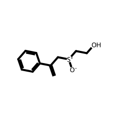 C=C(C[S+]([O-])CCO)c1ccccc1